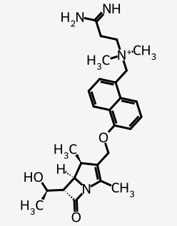 CC1=C(COc2cccc3c(C[N+](C)(C)CCC(=N)N)cccc23)[C@H](C)[C@@H]2[C@@H]([C@@H](C)O)C(=O)N12